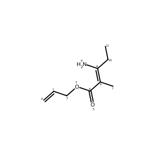 C=CCOC(=O)C(C)=C(N)CC